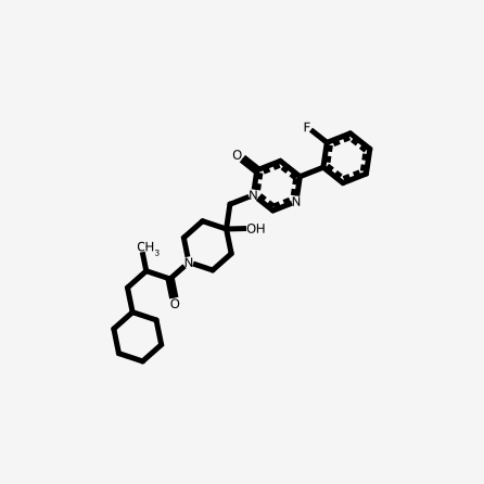 CC(CC1CCCCC1)C(=O)N1CCC(O)(Cn2cnc(-c3ccccc3F)cc2=O)CC1